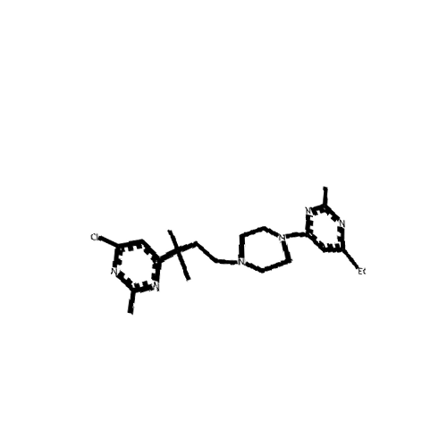 CCc1cc(N2CCN(CCC(C)(C)c3cc(Cl)nc(C)n3)CC2)nc(C)n1